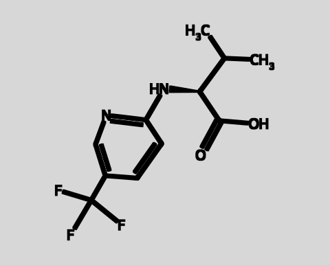 CC(C)[C@H](Nc1ccc(C(F)(F)F)cn1)C(=O)O